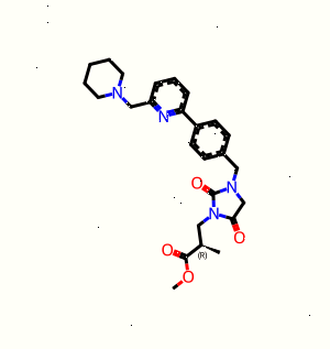 COC(=O)[C@H](C)CN1C(=O)CN(Cc2ccc(-c3cccc(CN4CCCCC4)n3)cc2)C1=O